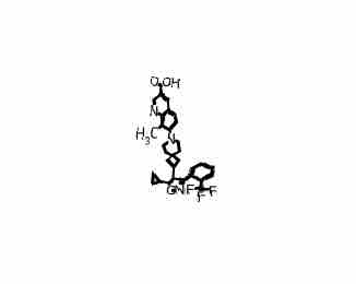 Cc1c(N2CCC3(C=C(c4c(-c5ccccc5C(F)(F)F)noc4C4CC4)C3)CC2)ccc2cc(C(=O)O)cnc12